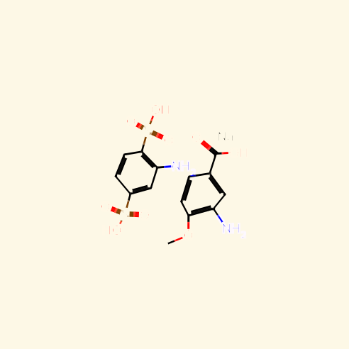 COc1ccc(C(=O)O)cc1N.Nc1cc(S(=O)(=O)O)ccc1S(=O)(=O)O.[Na]